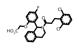 O=C(O)COc1ccc(F)cc1C1c2ccccc2CCN1C(=O)CCc1c(Cl)cccc1Cl